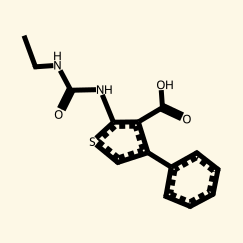 CCNC(=O)Nc1scc(-c2ccccc2)c1C(=O)O